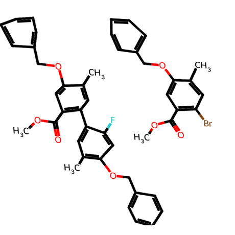 COC(=O)c1cc(OCc2ccccc2)c(C)cc1-c1cc(C)c(OCc2ccccc2)cc1F.COC(=O)c1cc(OCc2ccccc2)c(C)cc1Br